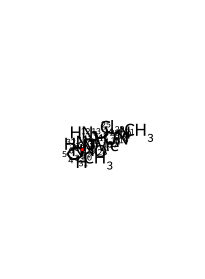 CN[C@H]1C[C@H]2CC[C@@H](C1)N2c1nc2[nH]cc(-c3ccc4nn(C)cc4c3Cl)c2c(=O)n1C